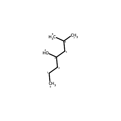 CCCC(O)CC(C)C